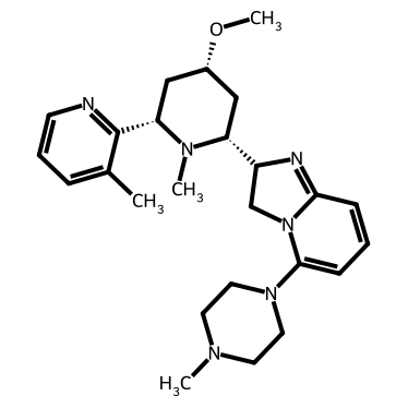 CO[C@@H]1C[C@H](C2CN3C(N4CCN(C)CC4)=CC=CC3=N2)N(C)[C@H](c2ncccc2C)C1